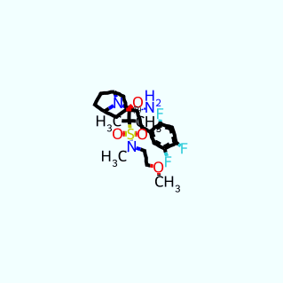 COCCN(C)S(=O)(=O)C(C)(C)C(=O)N1C2CCC1CC([C@H](N)Cc1cc(F)c(F)cc1F)C2